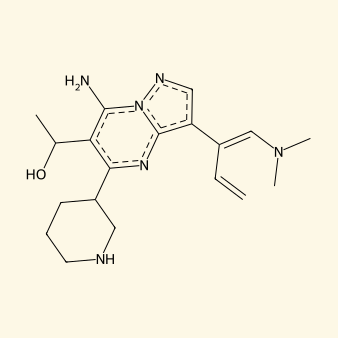 C=C/C(=C\N(C)C)c1cnn2c(N)c(C(C)O)c(C3CCCNC3)nc12